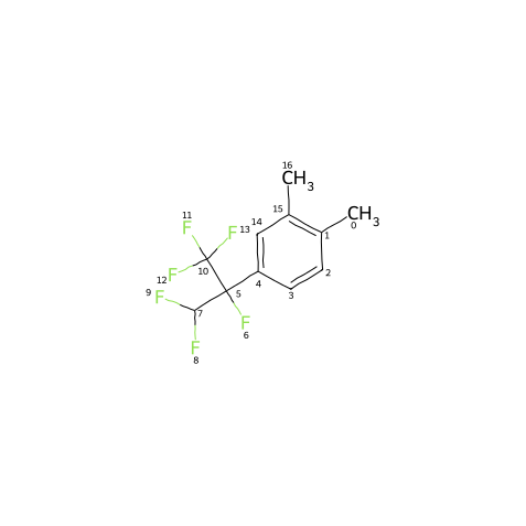 Cc1ccc(C(F)(C(F)F)C(F)(F)F)cc1C